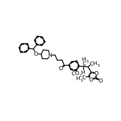 Cc1oc(=O)oc1C(C)C(C)(C(=O)O)c1ccc(C(=O)CCCN2CCC(OC(c3ccccc3)c3ccccc3)CC2)cc1